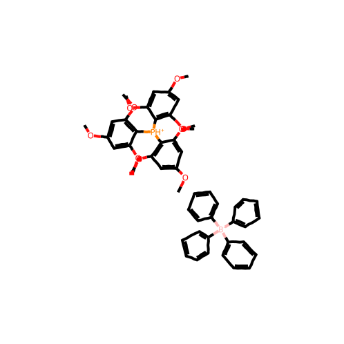 COc1cc(OC)c([PH+](c2c(OC)cc(OC)cc2OC)c2c(OC)cc(OC)cc2OC)c(OC)c1.c1ccc([B-](c2ccccc2)(c2ccccc2)c2ccccc2)cc1